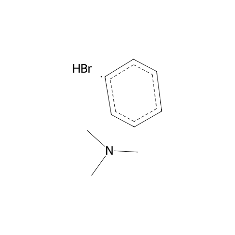 Br.CN(C)C.[c]1ccccc1